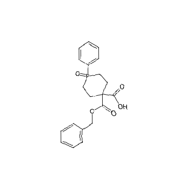 O=C(O)C1(C(=O)OCc2ccccc2)CCP(=O)(c2ccccc2)CC1